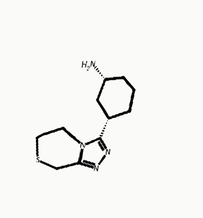 N[C@@H]1CCC[C@H](c2nnc3n2CCSC3)C1